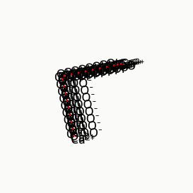 O=C([O-])P(=O)(O)O.O=C([O-])P(=O)(O)O.O=C([O-])P(=O)(O)O.O=C([O-])P(=O)(O)O.O=C([O-])P(=O)(O)O.O=C([O-])P(=O)(O)O.O=C([O-])P(=O)(O)O.O=C([O-])P(=O)(O)O.O=C([O-])P(=O)(O)O.O=C([O-])P(=O)(O)O.O=C([O-])P(=O)(O)O.O=C([O-])P(=O)(O)O.O=C([O-])P(=O)(O)O.O=C([O-])P(=O)(O)O.O=C([O-])P(=O)(O)O.O=C([O-])P(=O)(O)O.[Ca+2].[Ca+2].[Ca+2].[Ca+2].[Ca+2].[Ca+2].[Ca+2].[Ca+2]